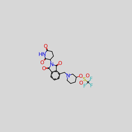 O=C1CCC(N2C(=O)c3cccc(CN4CCCC(OS(=O)(=O)C(F)(F)F)C4)c3C2=O)C(=O)N1